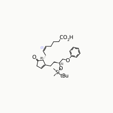 CC(C)(C)[Si](C)(C)O[C@@H](CCC1=CCC(=O)[C@@H]1C/C=C\CCCC(=O)O)COc1ccccc1